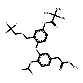 COC(=O)Cc1ccc(OC(F)F)c(Oc2ccc(NC(=O)C(C)(C)C)cc2CSCC(F)(F)F)c1